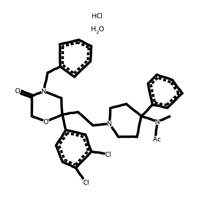 CC(=O)N(C)C1(c2ccccc2)CCN(CCC2(c3ccc(Cl)c(Cl)c3)CN(Cc3ccccc3)C(=O)CO2)CC1.Cl.O